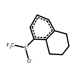 [O-][S+](c1cccc2c1CCC[CH]2)C(F)(F)F